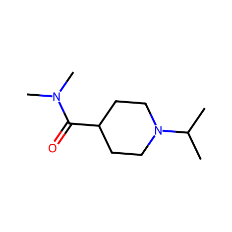 CC(C)N1CCC(C(=O)N(C)C)CC1